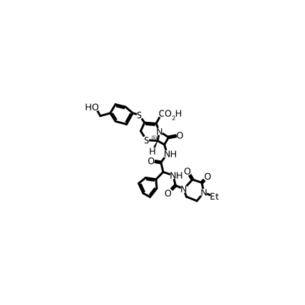 CCN1CCN(C(=O)NC(C(=O)NC2C(=O)N3C(C(=O)O)=C(Sc4ccc(CO)cc4)CS[C@@H]23)c2ccccc2)C(=O)C1=O